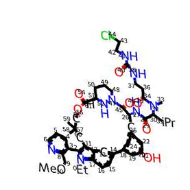 CCn1c(-c2cccnc2COC)c2c3cc(ccc31)-c1cc(O)cc(c1)C[C@H](NC(=O)C(C(C)C)N(C)C(=O)CCNC(=O)NCCCl)C(=O)N1CCC[C@H](N1)C(=O)OCC(C)(C)C2